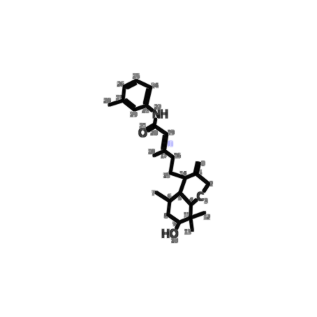 C=C1CCC2C(C(C)CC(O)C2(C)C)C1CC/C(C)=C/C(=O)Nc1cccc(C)c1